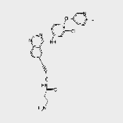 Cc1ccc(Oc2ccc(Nc3ncnc4ccc(C#CCNC(=O)CCN)cc34)cc2Cl)cn1